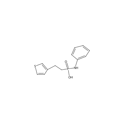 O=P(O)(CCc1ccsc1)Nc1ccccc1